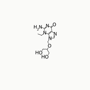 CCn1c(N)nc(=O)c2ncn(COC(CO)CO)c21